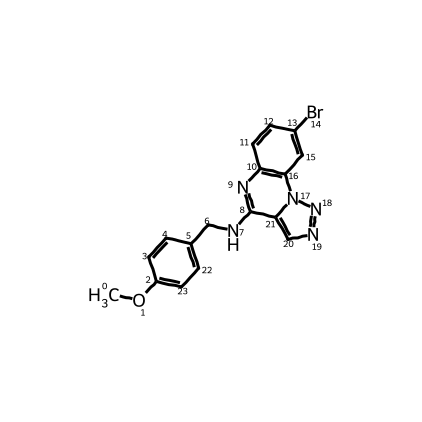 COc1ccc(CNc2nc3ccc(Br)cc3n3nncc23)cc1